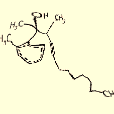 CCCCCCC#CC(C)C(C)(O)c1ccccc1C